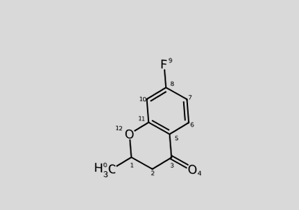 CC1CC(=O)c2ccc(F)cc2O1